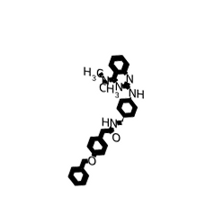 CN(C)c1nc(N[C@H]2CC[C@@H](CNC(=O)Cc3ccc(OCc4ccccc4)cc3)CC2)nc2ccccc12